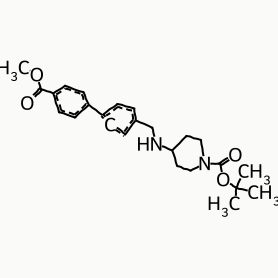 COC(=O)c1ccc(-c2ccc(CNC3CCN(C(=O)OC(C)(C)C)CC3)cc2)cc1